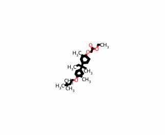 CCOC(=O)COc1ccc(C(CC)(CC)c2ccc(OCCC(C)(C)C)c(C)c2)cc1C